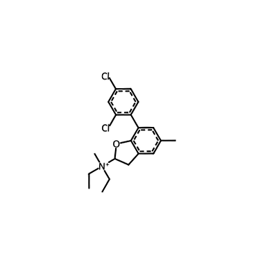 CC[N+](C)(CC)C1Cc2cc(C)cc(-c3ccc(Cl)cc3Cl)c2O1